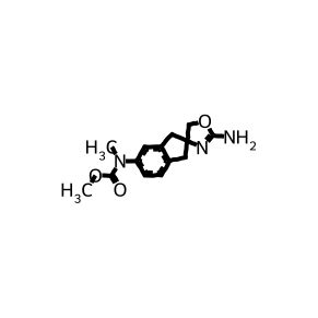 COC(=O)N(C)c1ccc2c(c1)CC1(COC(N)=N1)C2